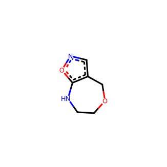 c1noc2c1COCCN2